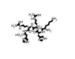 N=C(N)NCCC[C@H](NC(=O)[C@H](CCCNC(=N)N)NC(=O)[C@H](Cc1c[nH]cn1)NC(=O)[C@@H](N)CCCCN)C(=O)N[C@@H](Cc1c[nH]cn1)C(=O)O